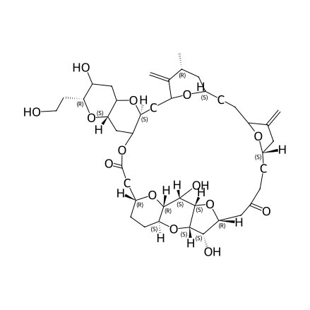 C=C1C[C@@H]2CCC(=O)C[C@H]3O[C@H]4[C@@H](O)[C@H]5O[C@H](CC[C@@H]5O[C@H]4[C@H]3O)CC(=O)OC3C[C@@H]4O[C@H](CCO)C(O)CC4O[C@H]3CC3O[C@@H](CCC1O2)C[C@@H](C)C3=C